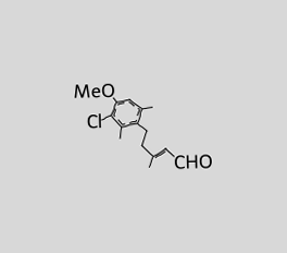 COc1cc(C)c(CCC(C)=CC=O)c(C)c1Cl